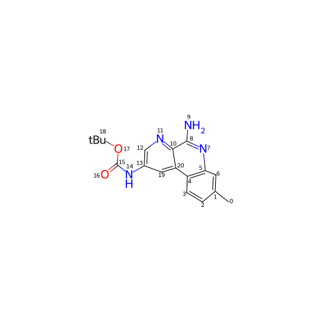 Cc1ccc2c(c1)nc(N)c1ncc(NC(=O)OC(C)(C)C)cc12